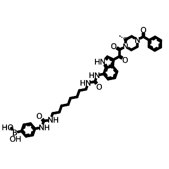 C[C@@H]1CN(C(=O)c2ccccc2)CCN1C(=O)C(=O)c1c[nH]c2c(NC(=O)NCCCCCCCCNC(=O)Nc3ccc(B(O)O)cc3)cccc12